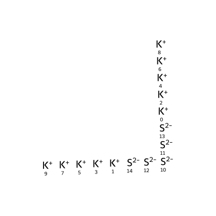 [K+].[K+].[K+].[K+].[K+].[K+].[K+].[K+].[K+].[K+].[S-2].[S-2].[S-2].[S-2].[S-2]